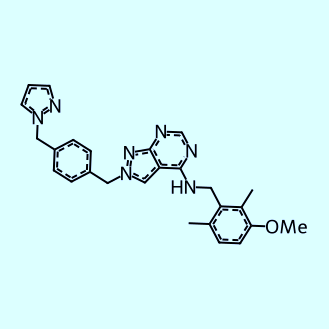 COc1ccc(C)c(CNc2ncnc3nn(Cc4ccc(Cn5cccn5)cc4)cc23)c1C